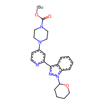 CC(C)(C)OC(=O)N1CCN(c2ccnc(-c3nn(C4CCCCO4)c4ccccc34)c2)CC1